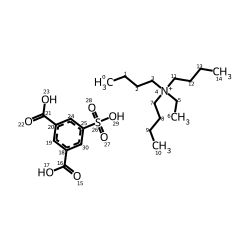 CCCC[N+](CC)(CCCC)CCCC.O=C(O)c1cc(C(=O)O)cc(S(=O)(=O)O)c1